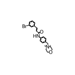 C[N+]1(Cc2ccc(NC(=O)C=Cc3cccc(Br)c3)cc2)CCOCC1